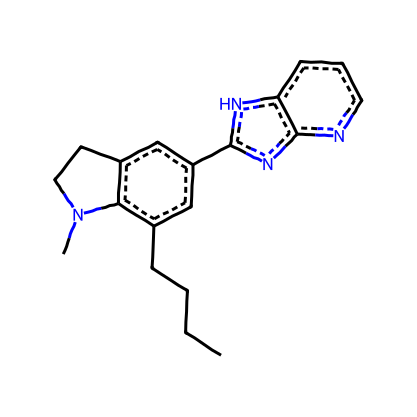 CCCCc1cc(-c2nc3ncccc3[nH]2)cc2c1N(C)CC2